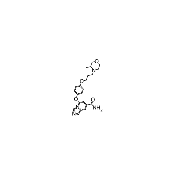 CC1COCCN1CCCOc1ccc(Oc2cc(C(N)=O)cc3cncn23)cc1